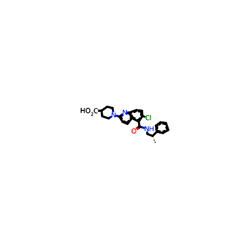 C[C@H](CNC(=O)c1c(Cl)ccc2nc(N3CCC(C(=O)O)CC3)ccc12)c1ccccc1